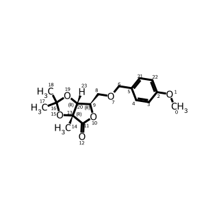 COc1ccc(COC[C@H]2OC(=O)[C@]3(C)OC(C)(C)O[C@H]23)cc1